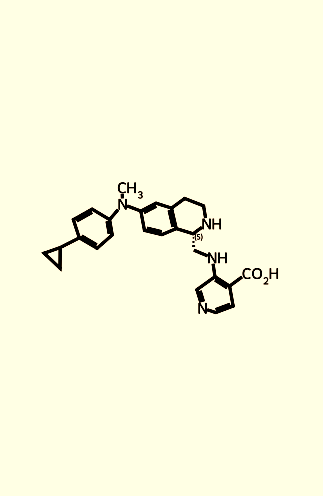 CN(c1ccc(C2CC2)cc1)c1ccc2c(c1)CCN[C@@H]2CNc1cnccc1C(=O)O